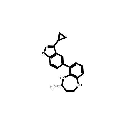 C[C@H]1CCNc2cccc(-c3ccc4[nH]nc(C5CC5)c4c3)c2N1